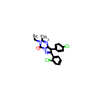 CC(=O)Cn1c(C)nc2c(-c3ccc(Cl)cc3)c(-c3ccccc3Cl)nn2c1=O